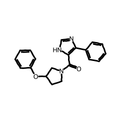 O=C(c1[nH]cnc1-c1ccccc1)N1CCC(Oc2ccccc2)C1